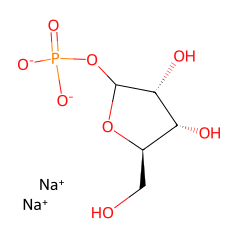 O=P([O-])([O-])OC1O[C@H](CO)[C@@H](O)[C@H]1O.[Na+].[Na+]